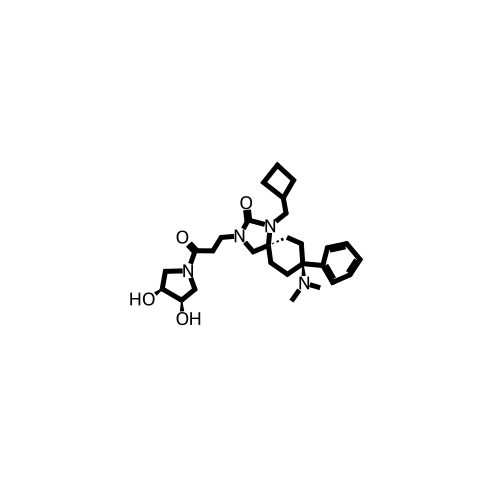 CN(C)[C@]1(c2ccccc2)CC[C@]2(CC1)CN(CCC(=O)N1C[C@@H](O)[C@@H](O)C1)C(=O)N2CC1CCC1